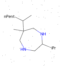 CCCCCC(C)C1(C)CNCC(C(C)C)NC1